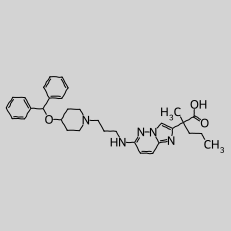 CCCC(C)(C(=O)O)c1cn2nc(NCCCN3CCC(OC(c4ccccc4)c4ccccc4)CC3)ccc2n1